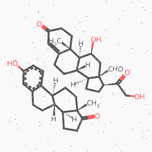 C[C@]12CCC(=O)C=C1CC[C@@H]1[C@@H]2[C@@H](O)C[C@]2(C=O)[C@@H](C(=O)CO)CC[C@@H]12.C[C@]12CC[C@@H]3c4ccc(O)cc4CC[C@H]3[C@@H]1CCC2=O